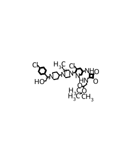 CC[C@H]1CN(c2ncc(Nc3c(NCC(=O)OC(C)(C)C)c(=O)c3=O)cc2Cl)CCN1C1CCN([C@@H](CO)c2ccc(Cl)cc2)CC1